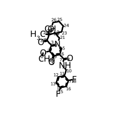 COc1c2n(cc(C(=O)NCc3ccc(F)cc3F)c1=O)CC1(CCCCO1)C(C)(C)C2=O